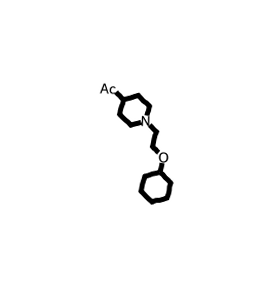 CC(=O)C1CCN(CCOC2CCCCC2)CC1